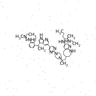 C=CNC(=C)C(CCC)Nc1cnc2c(c1)CCC(CC(=C)N1CCN(c3ncc(-c4cnc5[nH]cc(C(=C)c6cccc(NSN(C)CC)c6F)c5c4)cn3)CC1)CCN2